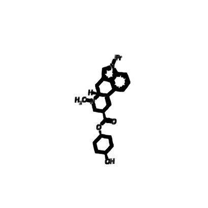 CC(C)n1cc2c3c(cccc31)C1=C[C@@H](C(=O)O[C@H]3CC[C@H](O)CC3)CN(C)[C@@H]1C2